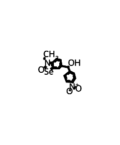 CCn1c(=O)[se]c2cc(C(O)c3ccc([N+](=O)[O-])cc3)ccc21